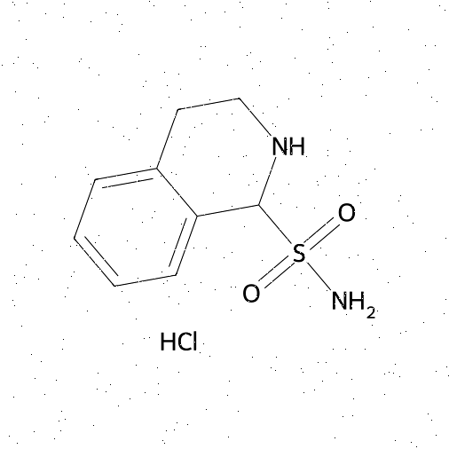 Cl.NS(=O)(=O)C1NCCc2ccccc21